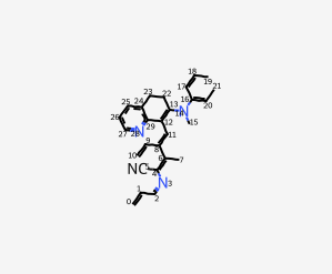 C=C\C=N/C(C#N)=C(C)/C(C=C)=C/C1=C(N(C)C(/C=C\C)=C/C)CCc2cccnc21